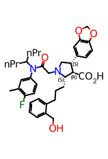 CCCC(CCC)N(C(=O)CN1C[C@H](c2ccc3c(c2)OCO3)[C@@H](C(=O)O)[C@@H]1CCCc1ccccc1CO)c1ccc(F)c(C)c1